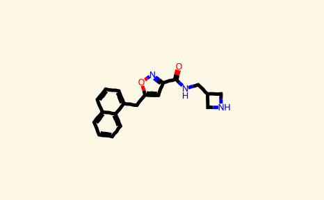 O=C(NCC1CNC1)c1cc(Cc2cccc3ccccc23)on1